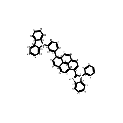 c1ccc(-n2c(-c3ccc4ccc5c(-c6cccc(-n7c8ccccc8c8ccccc87)c6)ccc6ccc3c4c65)nc3ccccc32)cc1